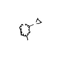 Cc1ccnc(N2CC2)c1